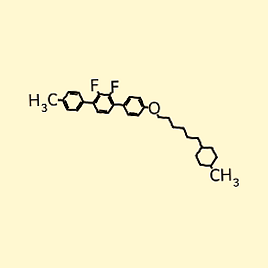 Cc1ccc(-c2ccc(-c3ccc(OCCCCCCC4CCC(C)CC4)cc3)c(F)c2F)cc1